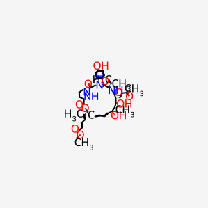 CCOC(=O)/C=C/C=C(\C)[C@@H]1C/C=C/C=C/[C@H](O)[C@H](C)[C@@H](O)[C@@H](CCC(C)=O)C(=O)N[C@@H](C(C)C)C(=O)N[C@@H](Cc2cccc(O)c2)C(=O)N2CCCC(N2)C(=O)O1